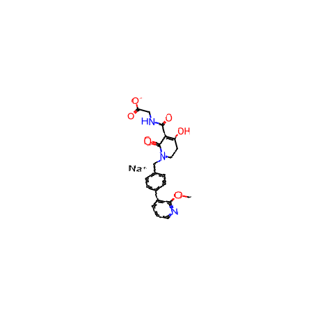 COc1ncccc1-c1ccc(CN2CCC(O)=C(C(=O)NCC(=O)[O-])C2=O)cc1.[Na+]